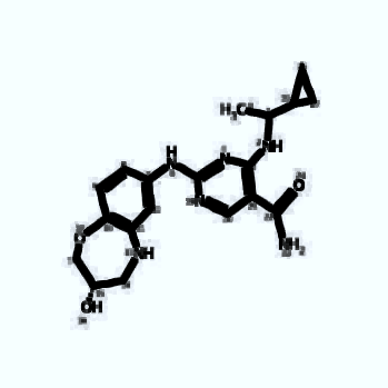 CC(Nc1nc(Nc2ccc3c(c2)NC[C@H](O)CO3)ncc1C(N)=O)C1CC1